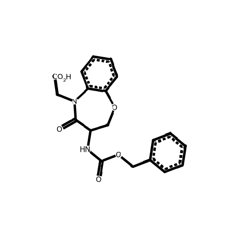 O=C(O)CN1C(=O)C(NC(=O)OCc2ccccc2)COc2ccccc21